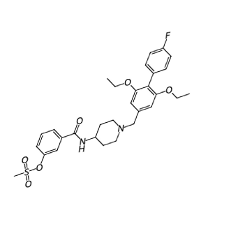 CCOc1cc(CN2CCC(NC(=O)c3cccc(OS(C)(=O)=O)c3)CC2)cc(OCC)c1-c1ccc(F)cc1